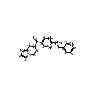 O=C(c1cnc(NCc2cccnc2)nc1)N1CCn2ccnc2C1